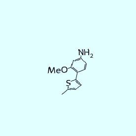 COc1cc(N)ccc1-c1ccc(C)s1